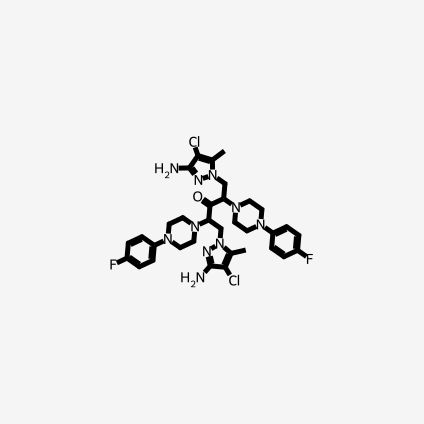 Cc1c(Cl)c(N)nn1CC(C(=O)C(Cn1nc(N)c(Cl)c1C)N1CCN(c2ccc(F)cc2)CC1)N1CCN(c2ccc(F)cc2)CC1